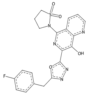 O=S1(=O)CCCN1c1nc(-c2nnc(Cc3ccc(F)cc3)o2)c(O)c2ncccc12